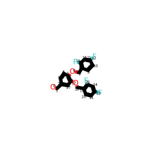 O=Cc1ccc(OCc2ccc(F)cc2F)c(OCc2ccc(F)cc2F)c1